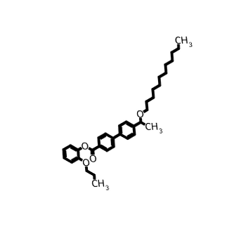 CCCCCCCCCCCCOC(C)c1ccc(-c2ccc(C(=O)Oc3ccccc3OCCC)cc2)cc1